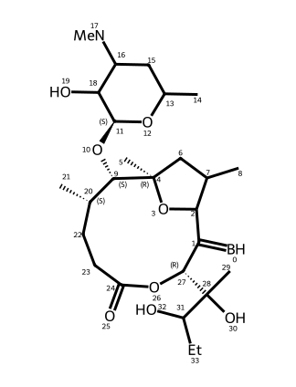 B=C1C2O[C@](C)(CC2C)[C@@H](O[C@@H]2OC(C)CC(NC)C2O)[C@@H](C)CCC(=O)O[C@H]1C(C)(O)C(O)CC